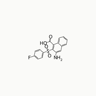 Nc1cc2ccccc2c(C(=O)O)c1S(=O)(=O)c1ccc(F)cc1